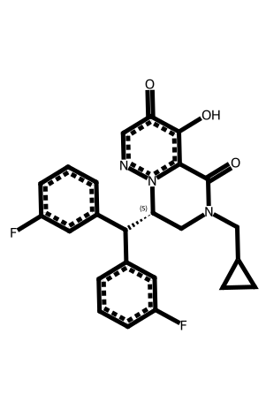 O=C1c2c(O)c(=O)cnn2[C@@H](C(c2cccc(F)c2)c2cccc(F)c2)CN1CC1CC1